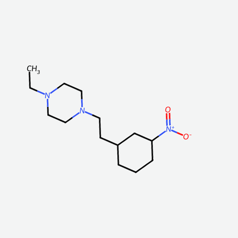 CCN1CCN(CCC2CCCC([N+](=O)[O-])C2)CC1